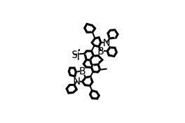 Cc1cc2c3c(cc4c([Si](C)(C)C)cc5c6c(cc1c3c46)B1c3ccccc3N(c3ccccc3)c3cc(-c4ccccc4)cc-5c31)B1c3ccccc3N(c3ccccc3)c3cc(-c4ccccc4)cc-2c31